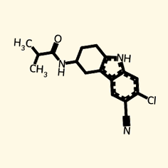 CC(C)C(=O)NC1CCc2[nH]c3cc(Cl)c(C#N)cc3c2C1